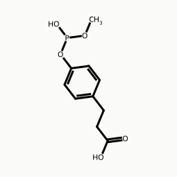 COP(O)Oc1ccc(CCC(=O)O)cc1